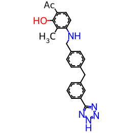 CC(=O)c1ccc(NCc2ccc(Cc3cccc(-c4nn[nH]n4)c3)cc2)c(C)c1O